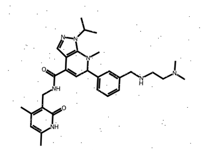 Cc1cc(C)c(CNC(=O)C2=CC(c3cccc(CNCCN(C)C)c3)N(C)c3c2cnn3C(C)C)c(=O)[nH]1